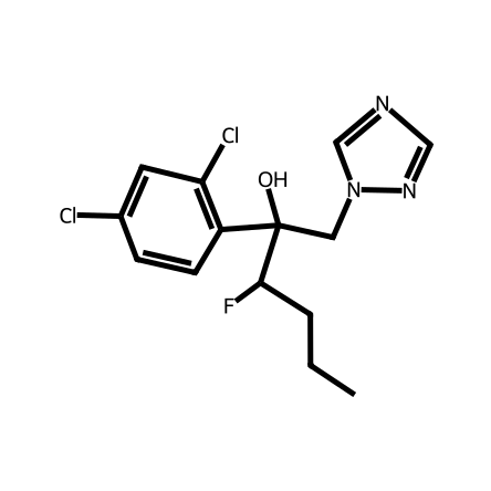 CCCC(F)C(O)(Cn1cncn1)c1ccc(Cl)cc1Cl